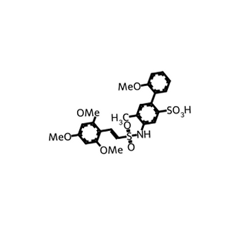 COc1cc(OC)c(/C=C/S(=O)(=O)Nc2cc(S(=O)(=O)O)c(-c3ccccc3OC)cc2C)c(OC)c1